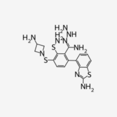 NN/N=C(\N)c1c(-c2cccc3sc(N)nc23)ccc(SN2CC(N)C2)c1SN